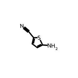 N#Cc1ccc(N)s1